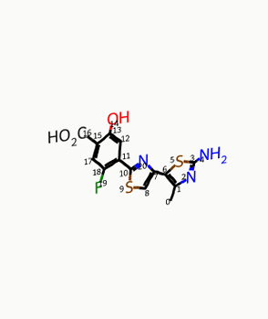 Cc1nc(N)sc1-c1csc(-c2cc(O)c(C(=O)O)cc2F)n1